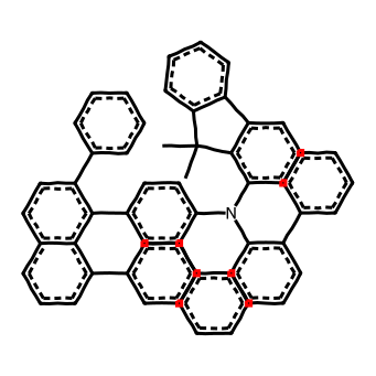 CC1(C)c2ccccc2-c2cccc(N(c3ccccc3-c3ccccc3)c3ccc(-c4c(-c5ccccc5)ccc5cccc(-c6ccccc6)c45)cc3-c3ccccc3)c21